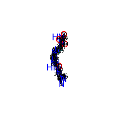 C[C@@H]1CN(c2ccc(C#N)c3ncccc23)[C@@H](C)CN1C(=O)Nc1cnc(N2CCC(CN3CCN(c4cc5c(cc4F)C(=O)N(C4CCC(=O)NC4=O)C5)CC3)CC2)nc1